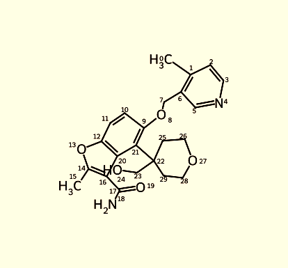 Cc1ccncc1COc1ccc2oc(C)c(C(N)=O)c2c1C1(CO)CCOCC1